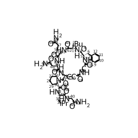 CC[C@H](C)[C@@H]1NC(=O)[C@H](Cc2ccccc2)NC(=O)CNC(=O)CC[C@@H](C(=O)N2CCCC[C@H]2C(=O)N[C@@H](CC(C)C)C(=O)NCC(N)=O)NC(=O)[C@H](CC(N)=O)NC(=O)[C@H](CCC(N)=O)NC1=O